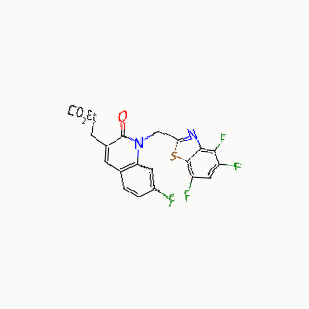 CCOC(=O)Cc1cc2ccc(F)cc2n(Cc2nc3c(F)c(F)cc(F)c3s2)c1=O